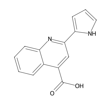 O=C(O)c1cc(-c2ccc[nH]2)nc2ccccc12